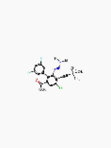 CCN(CC)/N=N/c1c(C#C[Si](C)(C)C)c(Cl)cc(C(=O)OC)c1-c1cc(F)cc(F)c1